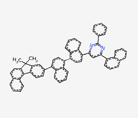 CC1(C)c2cc(-c3ccc(-c4ccc(-c5cc(-c6cccc7ccccc67)nc(-c6ccccc6)n5)c5ccccc45)c4ccccc34)ccc2-c2c1ccc1ccccc21